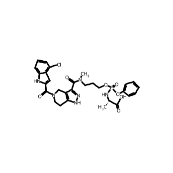 C[C@H](NP(=O)(OCCCN(C)C(=O)c1n[nH]c2c1CN(C(=O)c1cc3c(Cl)cccc3[nH]1)CC2)Oc1ccccc1)C(=O)O